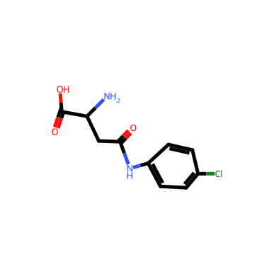 NC(CC(=O)Nc1ccc(Cl)cc1)C(=O)O